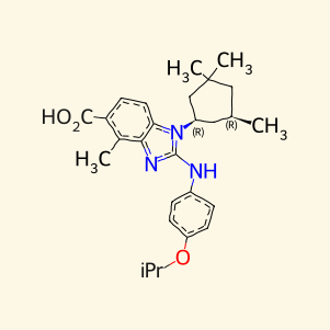 Cc1c(C(=O)O)ccc2c1nc(Nc1ccc(OC(C)C)cc1)n2[C@@H]1C[C@H](C)CC(C)(C)C1